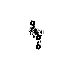 CCO[C@H](C(=O)N1C(=O)OCC1Cc1ccccc1)[C@H](O)c1ccc(OCc2ccccc2)cc1C